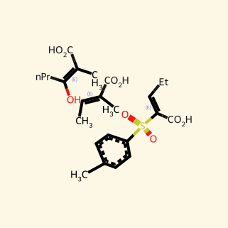 C/C=C(\C)C(=O)O.CC/C=C(\C(=O)O)S(=O)(=O)c1ccc(C)cc1.CCC/C(O)=C(/C)C(=O)O